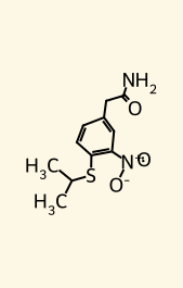 CC(C)Sc1ccc(CC(N)=O)cc1[N+](=O)[O-]